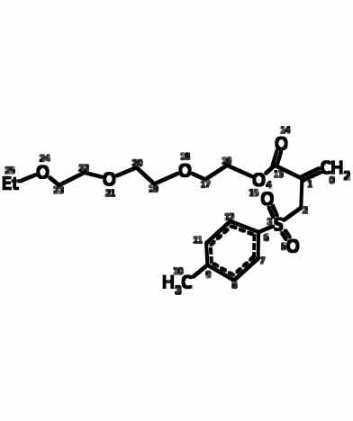 C=C(CS(=O)(=O)c1ccc(C)cc1)C(=O)OCCOCCOCCOCC